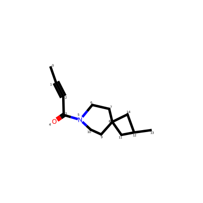 CC#CC(=O)N1CCC2(CC1)CC(C)C2